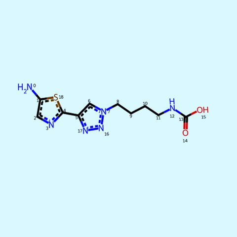 Nc1cnc(-c2cn(CCCCNC(=O)O)nn2)s1